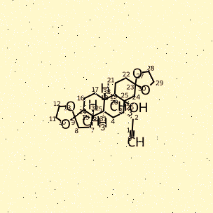 C#CC[C@@H]1C[C@H]2[C@@H]3CCC4(OCCO4)[C@@]3(C)CC[C@@H]2[C@@]2(C)CCC3(C[C@]12O)OCCO3